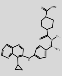 COC(=O)C1CCC(C(=O)N(C)[C@@H](c2ccc(Nc3cnc4cccnc4c3C3CC3)cc2)C(F)(F)F)CC1